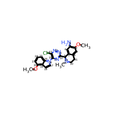 COc1cc2c(cc1N)C(c1nnc(Cl)c(-n3ccc4c(OC)cccc43)n1)N(C)CC2